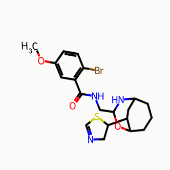 COc1ccc(Br)c(C(=O)NCC2NC3CCCC(O2)C(C2CN=CS2)C3)c1